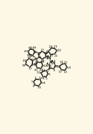 c1ccc(-c2ccc(-c3cc(-c4ccccc4)nc(-n4c5ccccc5c5cc6c(cc54)C(c4ccccc4)(c4ccccc4)c4ccccc4-6)n3)cc2)cc1